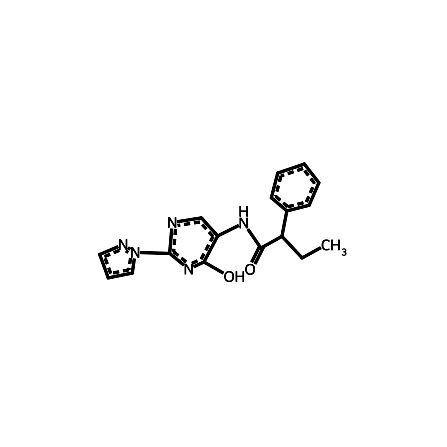 CCC(C(=O)Nc1cnc(-n2cccn2)nc1O)c1ccccc1